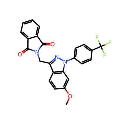 COc1ccc2c(CN3C(=O)c4ccccc4C3=O)nn(-c3ccc(C(F)(F)F)cc3)c2c1